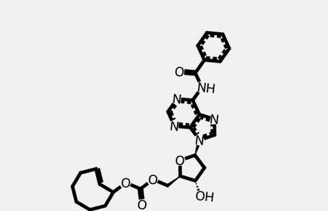 O=C(OC[C@H]1O[C@@H](n2cnc3c(NC(=O)c4ccccc4)ncnc32)C[C@@H]1O)OC1/C=C/CCCCC1